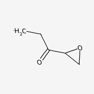 [CH2]CC(=O)C1CO1